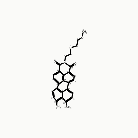 COCCOCCN1C(=O)c2ccc3c4ccc(C)c5c(C)ccc(c6ccc(c2c36)C1=O)c54